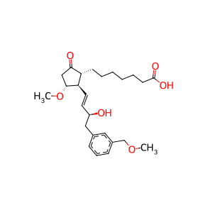 COCc1cccc(C[C@H](O)/C=C/[C@H]2[C@H](OC)CC(=O)[C@@H]2CCCCCCC(=O)O)c1